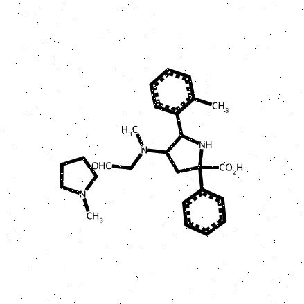 CN1CCCC1.Cc1ccccc1C1NC(C(=O)O)(c2ccccc2)CC1N(C)CC=O